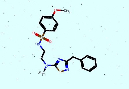 COc1ccc(S(=O)(=O)NCCN(C)c2nc(Cc3ccccc3)ns2)cc1